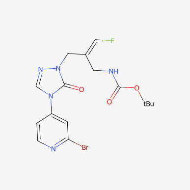 CC(C)(C)OC(=O)NC/C(=C\F)Cn1ncn(-c2ccnc(Br)c2)c1=O